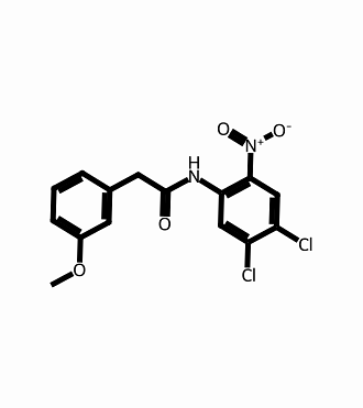 COc1cccc(CC(=O)Nc2cc(Cl)c(Cl)cc2[N+](=O)[O-])c1